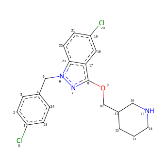 Clc1ccc(Cn2nc(OCC3CCCNC3)c3cc(Cl)ccc32)cc1